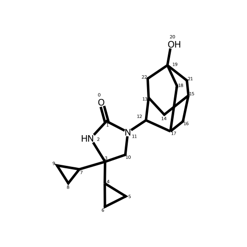 O=C1NC(C2CC2)(C2CC2)CN1C1C2CC3CC1CC(O)(C3)C2